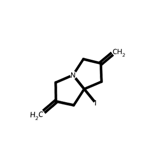 C=C1CN2CC(=C)CC2(I)C1